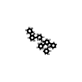 c1ccc(-n2c3ccccc3c3ccc4c(c5ccccc5n4-c4cccc(-c5cccc6c5sc5ccccc56)n4)c32)cc1